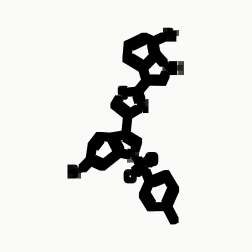 Cc1ccc(S(=O)(=O)n2cc(-c3csc(-c4c[nH]c5c(Br)cccc45)n3)c3ccc(Br)cc32)cc1